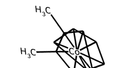 C[C]12[CH]3[CH]4[CH]5[C]1(C)[Co]43521678[CH]2[CH]1[CH]6[CH]7[CH]28